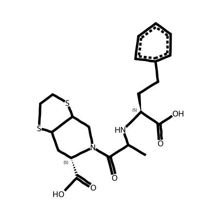 CC(N[C@@H](CCc1ccccc1)C(=O)O)C(=O)N1CC2SCCSC2C[C@H]1C(=O)O